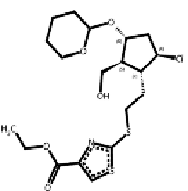 CCOC(=O)c1csc(SCC[C@@H]2[C@@H](CO)[C@H](OC3CCCCO3)C[C@H]2Cl)n1